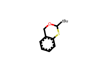 CC(C)(C)C1OCc2ccccc2S1